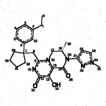 CCc1cccc(C2(Cc3nc(=O)c(O)c4n3C[C@H](C)N(c3ccn(C)n3)C4=O)CCCC2)c1